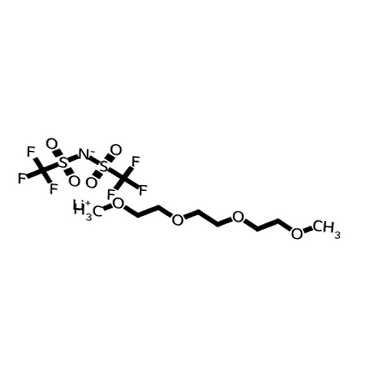 COCCOCCOCCOC.O=S(=O)([N-]S(=O)(=O)C(F)(F)F)C(F)(F)F.[Li+]